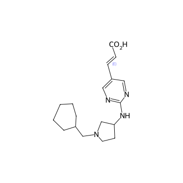 O=C(O)/C=C/c1cnc(NC2CCN(CC3CCCCC3)C2)nc1